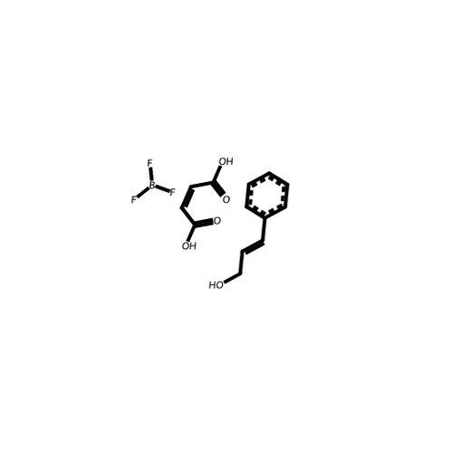 FB(F)F.O=C(O)/C=C\C(=O)O.OCC=Cc1ccccc1